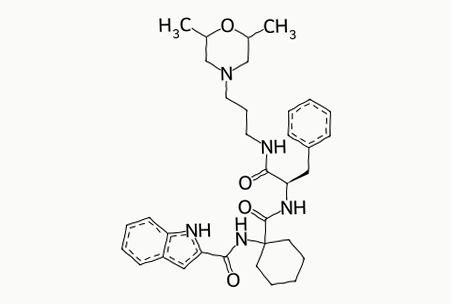 CC1CN(CCCNC(=O)[C@@H](Cc2ccccc2)NC(=O)C2(NC(=O)c3cc4ccccc4[nH]3)CCCCC2)CC(C)O1